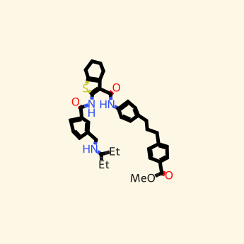 CCC(CC)NCc1cccc(C(=O)Nc2sc3c(c2C(=O)Nc2ccc(CCCc4ccc(C(=O)OC)cc4)cc2)CCCC3)c1